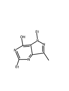 CCc1nc(O)c2c(n1)c(C)nn2CC